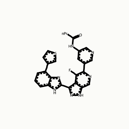 CCCC(=O)Nc1cncc(-c2ncc3[nH]nc(-c4nc5c(-c6ccsc6)cccc5[nH]4)c3c2F)c1